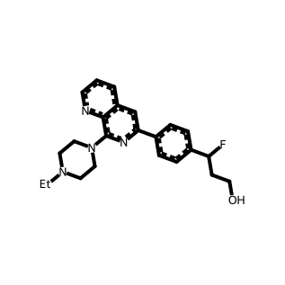 CCN1CCN(c2nc(-c3ccc(C(F)CCO)cc3)cc3cccnc23)CC1